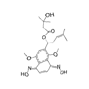 COc1cc([C@@H](CC=C(C)C)OC(=O)CC(C)(C)O)c(OC)c2c1/C(=N/O)C=C/C2=N\O